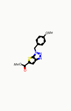 COC(=O)c1cc2nnn(Cc3ccc(OC)cc3)c2s1